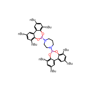 CCCCc1cc(CCCC)c2op(N3CCCN(p4oc5c(CCCC)cc(CCCC)cc5c5cc(CCCC)cc(CCCC)c5o4)CC3)oc3c(CCCC)cc(CCCC)cc3c2c1